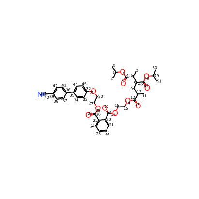 CC(C)OC(=O)C(C)C(CC(C)C(=O)OCCOC(=O)c1ccccc1C(=O)OCCOc1ccc(-c2ccc(C#N)cc2)cc1)C(=O)OC(C)C